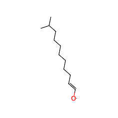 CC(C)CCCCCCCC=C[O]